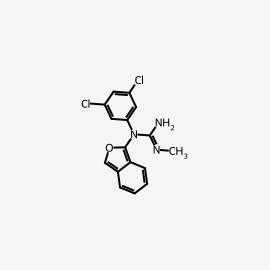 CN=C(N)N(c1cc(Cl)cc(Cl)c1)c1occ2ccccc12